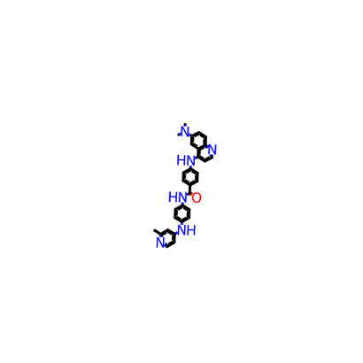 Cc1cc(Nc2ccc(NC(=O)c3ccc(Nc4ccnc5ccc(N(C)C)cc45)cc3)cc2)ccn1